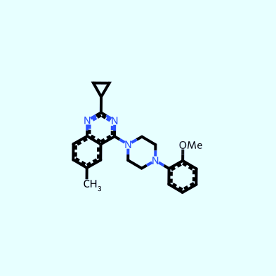 COc1ccccc1N1CCN(c2nc(C3CC3)nc3ccc(C)cc23)CC1